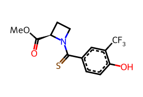 COC(=O)[C@H]1CCN1C(=S)c1ccc(O)c(C(F)(F)F)c1